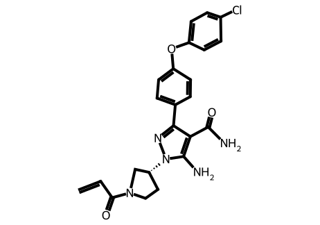 C=CC(=O)N1CC[C@@H](n2nc(-c3ccc(Oc4ccc(Cl)cc4)cc3)c(C(N)=O)c2N)C1